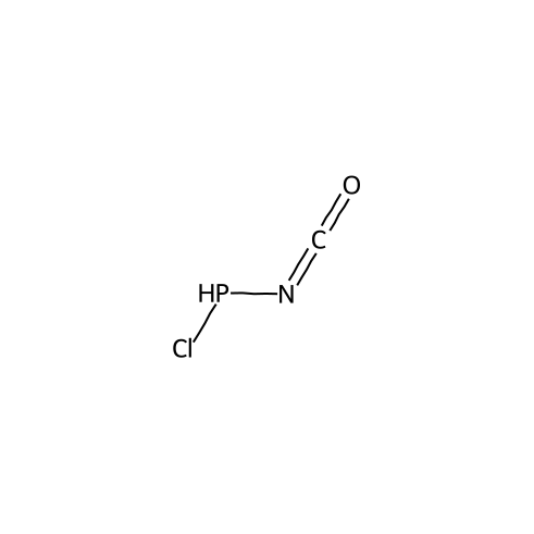 O=C=NPCl